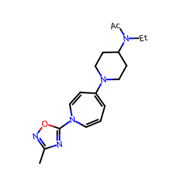 CCN(C(C)=O)C1CCN(C2=CC=CN(c3nc(C)no3)C=C2)CC1